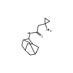 NC1(CC(=O)NC2C3CC4CC(C3)CC2C4)CC1